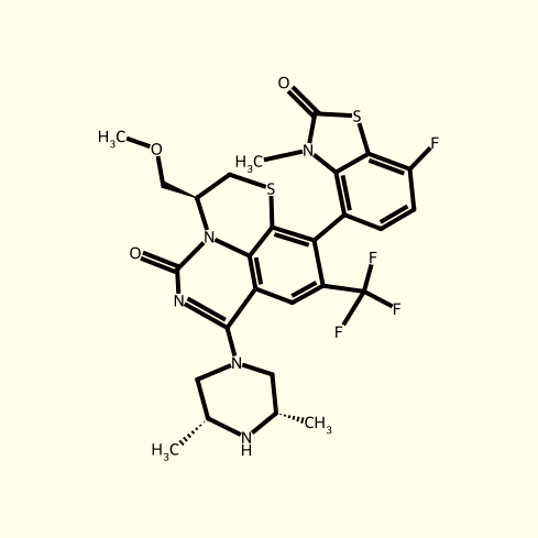 COC[C@H]1CSc2c(-c3ccc(F)c4sc(=O)n(C)c34)c(C(F)(F)F)cc3c(N4C[C@@H](C)N[C@@H](C)C4)nc(=O)n1c23